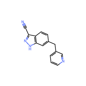 N#Cc1n[nH]c2cc(Cc3cccnc3)ccc12